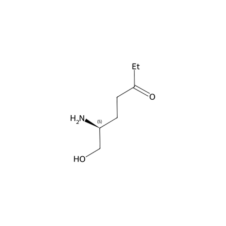 CCC(=O)CC[C@H](N)CO